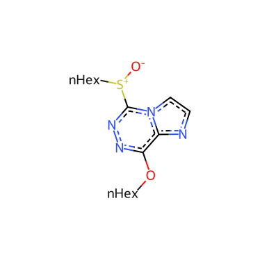 CCCCCCOc1nnc([S+]([O-])CCCCCC)n2ccnc12